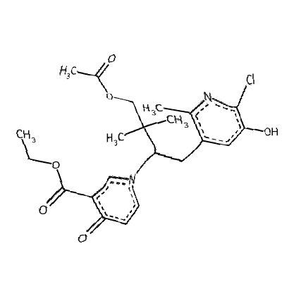 CCOC(=O)c1cn(C(Cc2cc(O)c(Cl)nc2C)C(C)(C)COC(C)=O)ccc1=O